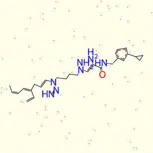 C=C/C(=C\C=C/C)C/C=C/N(CCCCN(N)/C=C(\N)C(=O)NCc1cccc(C2CC2)c1)N=N